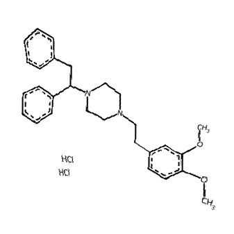 COc1ccc(CCN2CCN(C(Cc3ccccc3)c3ccccc3)CC2)cc1OC.Cl.Cl